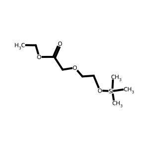 CCOC(=O)COCCO[Si](C)(C)C